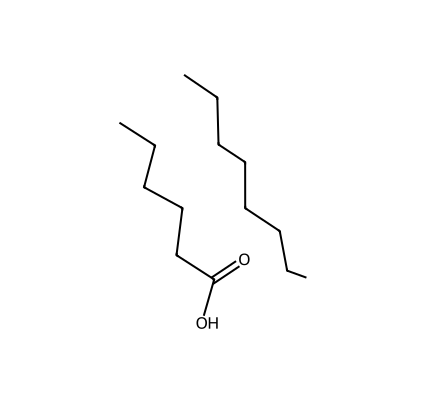 CCCCCC(=O)O.CCCCCCCC